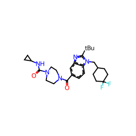 CC(C)(C)c1nc2cc(C(=O)N3CCN(C(=O)NC4CC4)CC3)ccc2n1CC1CCC(F)(F)CC1